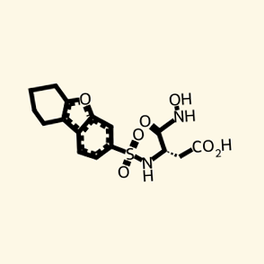 O=C(O)C[C@H](NS(=O)(=O)c1ccc2c3c(oc2c1)CCCC3)C(=O)NO